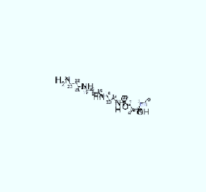 C/C=C/[C@@H](O)[C@@H](C)COC(=O)NCCCNCCCCNCCCN